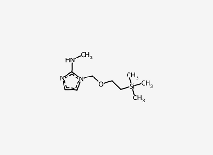 CNc1nccn1COCC[Si](C)(C)C